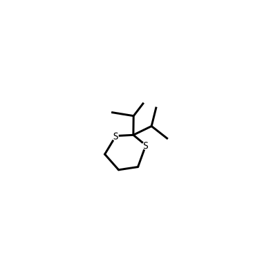 CC(C)C1(C(C)C)SCCCS1